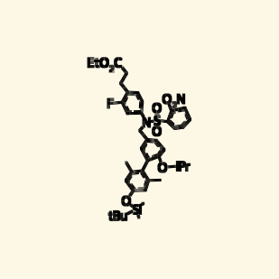 CCOC(=O)CCc1ccc(N(Cc2ccc(OC(C)C)c(-c3c(C)cc(O[Si](C)(C)C(C)(C)C)cc3C)c2)S(=O)(=O)c2ccccc2[N+](=O)[O-])cc1F